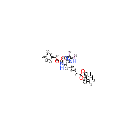 CC(C)(C)OC(=O)CCCCCC(NC(=O)OCc1ccccc1)c1nc(I)c(I)[nH]1